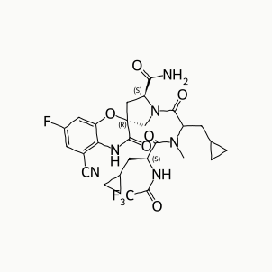 CN(C(=O)[C@H](CC1CC1)NC(=O)C(F)(F)F)C(CC1CC1)C(=O)N1C[C@@]2(C[C@H]1C(N)=O)Oc1cc(F)cc(C#N)c1NC2=O